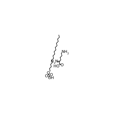 CCCCCCCCCCCCCCCCCCOS(=O)(=O)O.NCCCC[C@H](N)C(=O)O